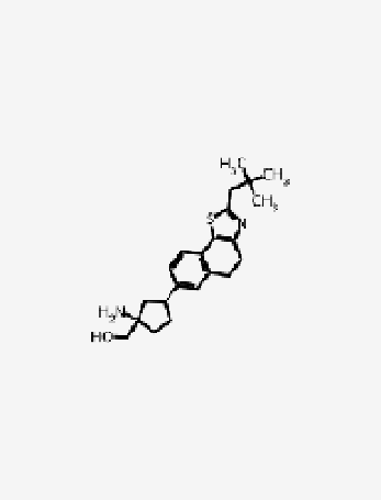 CC(C)(C)Cc1nc2c(s1)-c1ccc([C@H]3CC[C@](N)(CO)C3)cc1CC2